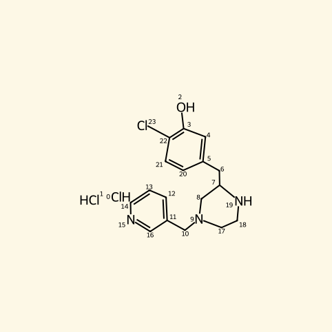 Cl.Cl.Oc1cc(CC2CN(Cc3cccnc3)CCN2)ccc1Cl